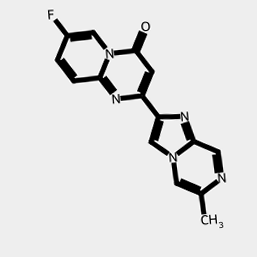 Cc1cn2cc(-c3cc(=O)n4cc(F)ccc4n3)nc2cn1